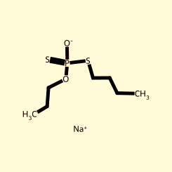 CCCCSP([O-])(=S)OCCC.[Na+]